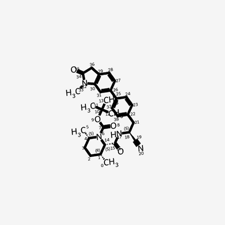 C[C@@H]1CC[C@H](C)N(C(=O)OC(C)(C)C)[C@@H]1C(=O)N[C@H](C#N)Cc1ccc(-c2ccc3c(c2)N(C)C(=O)C3)cc1